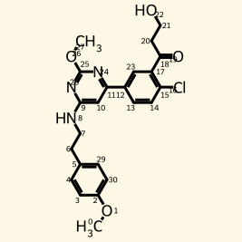 COc1ccc(CCNc2cc(-c3ccc(Cl)c(C(=O)CCO)c3)nc(OC)n2)cc1